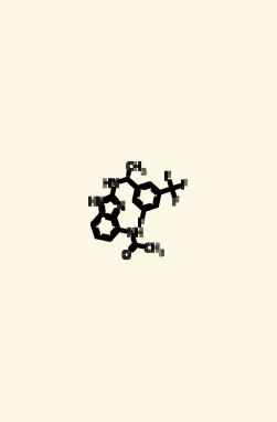 CC(=O)Nc1cccc2[nH]c(N[C@@H](C)c3cc(F)cc(C(F)(F)F)c3)nc12